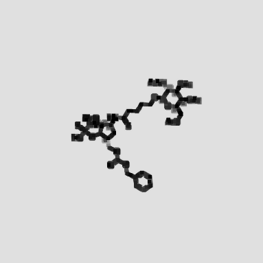 CO[C@H]1C(OP(O)(=S)OC)[C@@H](COC(=O)OCc2ccccc2)C[C@@H]1NC(=S)CCCCO[C@@H]1O[C@H](COC(C)=O)[C@H](OC(C)=O)[C@H](OC(C)=O)[C@H]1NC(C)=O